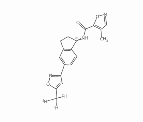 [2H]C([2H])([2H])c1nc(-c2ccc3c(c2)CC[C@H]3NC(=O)c2oncc2C)no1